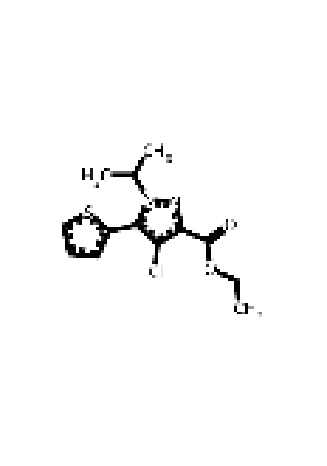 CCOC(=O)c1nn(C(C)C)c(-c2cccs2)c1Cl